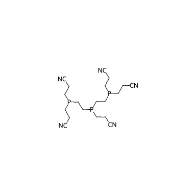 N#CCCP(CCC#N)CCP(CCC#N)CCP(CCC#N)CCC#N